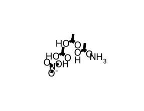 CC(=O)O.CC(=O)O.CC(=O)O.N.O=[N+]([O-])O